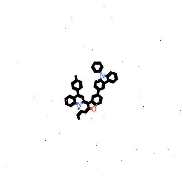 C\C=C/C=c1/oc2ccc(-c3ccc4c(c3)c3ccccc3n4-c3ccccc3)cc2/c1=C1\C=C(c2ccc(C)cc2)c2ccccc2N1C